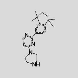 CC1(C)CCC(C)(C)c2cc(-c3nccc(N4CCNCC4)n3)ccc21